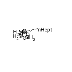 CCCCCCCCCCCC[SiH]1O[SiH2]O[SiH2]O[SiH2]O1